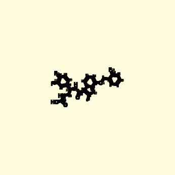 Cc1nc2c(OCc3ccccc3F)cccn2c1C(=O)NC(CNC(=O)O)c1ccc(F)c(F)c1